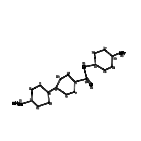 CCCCCCC1CCC(C2CCC(C(=O)OC3CCC(CCC)CC3)CC2)CC1